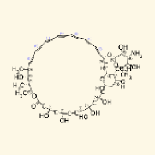 C[C@@H]1[C@H](O)[C@@H](C)/C=C/C=C/C=C/C=C/C=C/C=C/C=C/[C@H](O[C@H]2O[C@@H](C)[C@H](O)[C@@H](N)[C@H]2O)C[C@@H]2OC(O)(C[C@@H](O)C[C@@H](O)[C@H](O)CC[C@@H](O)C[C@@H](O)CC(=O)O[C@H]1C)C[C@H](O)[C@H]2C(=O)O